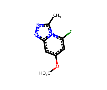 Cc1nnc2cc(OC(=O)O)cc(Cl)n12